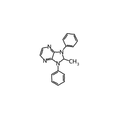 CC1N(c2ccccc2)c2nccnc2N1c1ccccc1